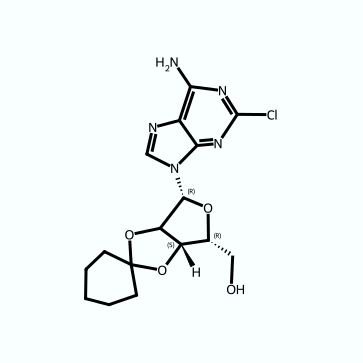 Nc1nc(Cl)nc2c1ncn2[C@@H]1O[C@H](CO)[C@@H]2OC3(CCCCC3)OC21